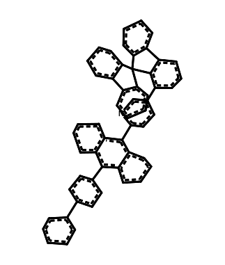 c1ccc(-c2ccc(-c3c4ccccc4c(-c4ccc(-c5cccc6c5C5(c7ccccc7-c7ccccc75)c5ccccc5-6)cn4)c4ccccc34)cc2)cc1